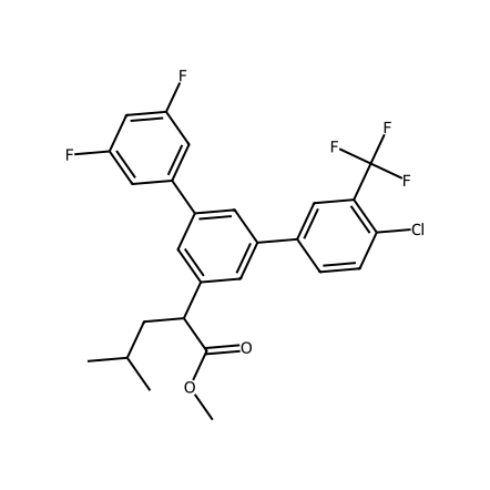 COC(=O)C(CC(C)C)c1cc(-c2cc(F)cc(F)c2)cc(-c2ccc(Cl)c(C(F)(F)F)c2)c1